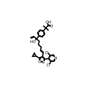 C=CC(O)(CCC/C=C/c1c(-c2c(Cl)cncc2Cl)noc1C1CC1)c1ccc(C(C)(C)C(=O)O)cc1